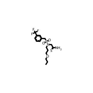 CCCOCCCN(CC(N)=S)S(=O)(=O)Cc1cccc(C(F)(F)F)c1